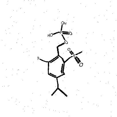 CC(C)c1cc(F)c(COP(=O)(O)O)c(S(C)(=O)=O)c1